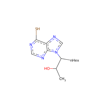 CCCCCCC(C(C)O)n1cnc2c(S)ncnc21